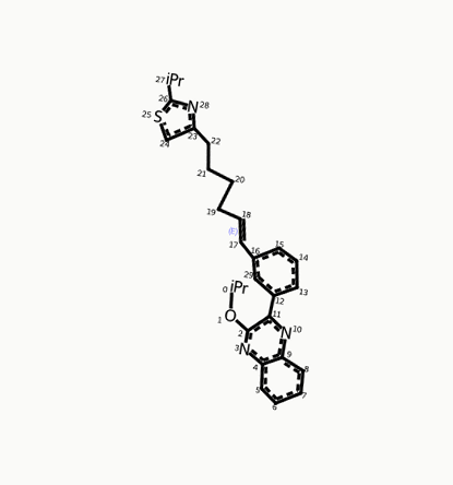 CC(C)Oc1nc2ccccc2nc1-c1cccc(/C=C/CCCCc2csc(C(C)C)n2)c1